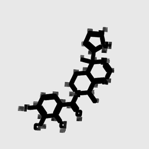 CC1C2=NC=NC(C)(c3ccn[nH]3)C2CCN1C(=O)c1ccc(F)c(Cl)c1Cl